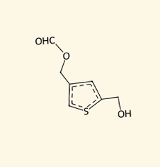 O=COCc1csc(CO)c1